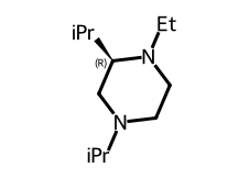 CCN1CCN(C(C)C)C[C@H]1C(C)C